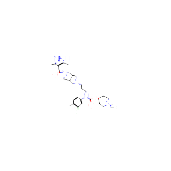 CC(=O)N1CCC(OC(=O)N(CCCN2CC3CN(C(=O)c4c(C)n[nH]c4C)CC3C2)c2ccc(C)c(Cl)c2)CC1